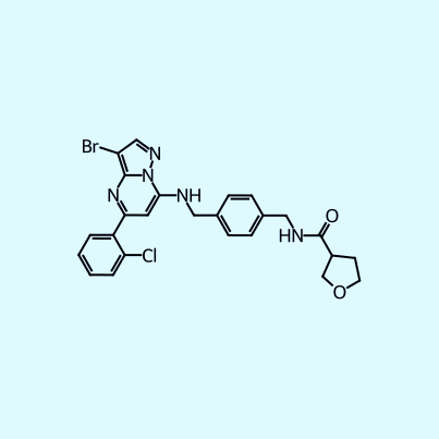 O=C(NCc1ccc(CNc2cc(-c3ccccc3Cl)nc3c(Br)cnn23)cc1)C1CCOC1